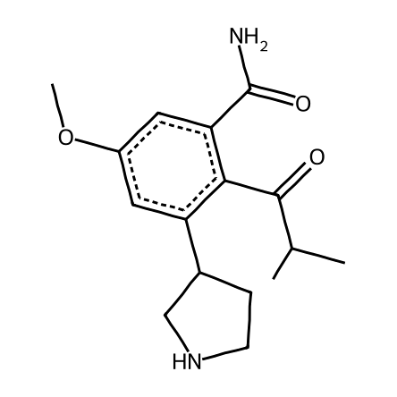 COc1cc(C(N)=O)c(C(=O)C(C)C)c(C2CCNC2)c1